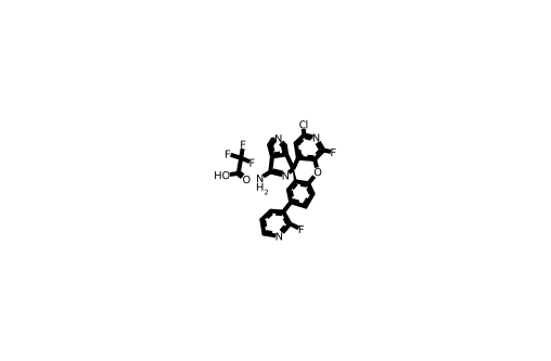 NC1=N[C@]2(c3cc(-c4cccnc4F)ccc3Oc3c2cc(Cl)nc3F)c2cnccc21.O=C(O)C(F)(F)F